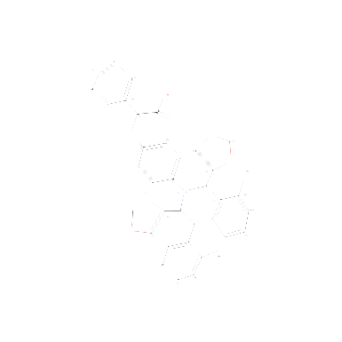 O=C(O)C(Oc1ccc(N(C(Cc2ccccc2Cl)C2=COCO2)C(C2=COCO2)c2ccccc2Cl)cc1)c1ccccc1